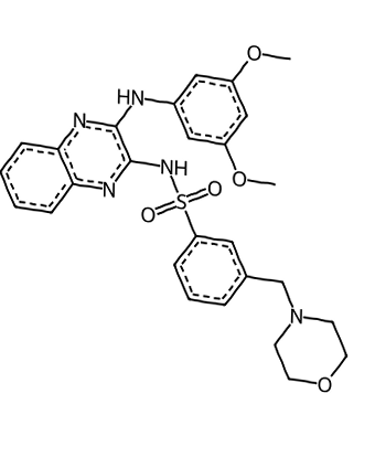 COc1cc(Nc2nc3ccccc3nc2NS(=O)(=O)c2cccc(CN3CCOCC3)c2)cc(OC)c1